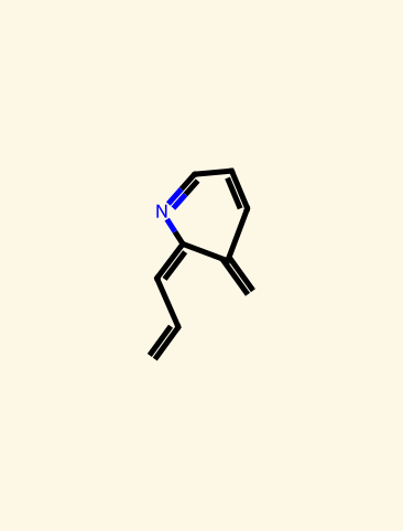 C=C/C=c1/ncccc1=C